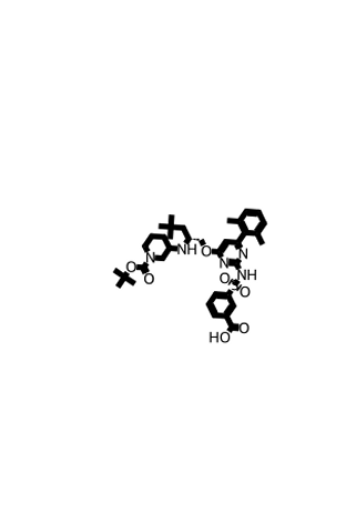 Cc1cccc(C)c1-c1cc(OC[C@@H](CC(C)(C)C)NC2CCCN(C(=O)OC(C)(C)C)C2)nc(NS(=O)(=O)c2cccc(C(=O)O)c2)n1